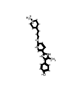 Cc1[nH]c(-c2ccc(OCCCC3CCN(C)CC3)nc2)nc1-c1ccc(Cl)cc1